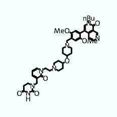 CCCCn1cc(-c2cc(OC)c(CN3CCC(OC4CCN(CCn5cccc(CN6CCC(=O)NC6=O)c5=O)CC4)CC3)cc2OC)c2ccncc2c1=O